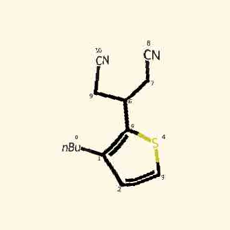 CCCCc1ccsc1C(CC#N)CC#N